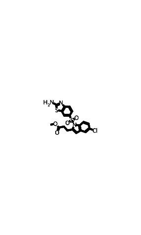 COC(=O)CCc1cc2cc(Cl)ccc2n1S(=O)(=O)c1ccc2nc(N)sc2c1